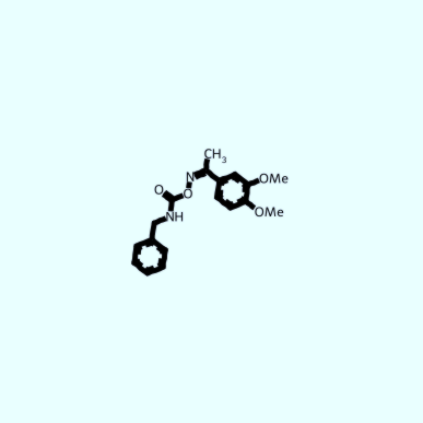 COc1ccc(/C(C)=N\OC(=O)NCc2ccccc2)cc1OC